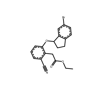 CCOC(=O)Cc1c(C#N)cccc1OC1CCc2ccc(Br)cc21